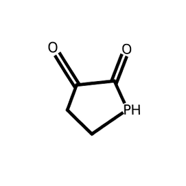 O=C1CCPC1=O